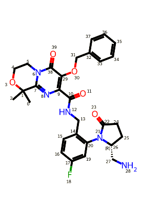 CC1(C)OCCn2c1nc(C(=O)NCc1ccc(F)cc1N1C(=O)CC[C@@H]1CN)c(OCc1ccccc1)c2=O